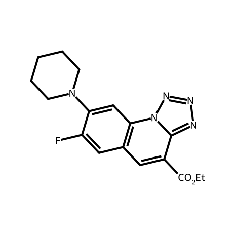 CCOC(=O)c1cc2cc(F)c(N3CCCCC3)cc2n2nnnc12